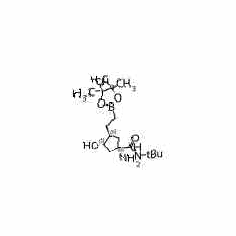 CC(C)(C)NC(=O)[C@]1(N)C[C@H](CCB2OC(C)(C)C(C)(C)O2)[C@@H](O)C1